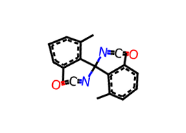 Cc1cccc(C)c1C(N=C=O)(N=C=O)c1c(C)cccc1C